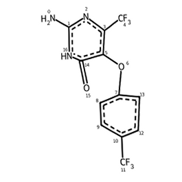 Nc1nc(C(F)(F)F)c(Oc2ccc(C(F)(F)F)cc2)c(=O)[nH]1